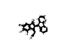 N#C/C=C1/C(=C2c3cccnc3-c3ncccc32)C(=O)c2cc(F)c(F)c(F)c21